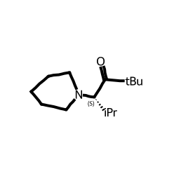 CC(C)[C@@H](C(=O)C(C)(C)C)N1CCCCC1